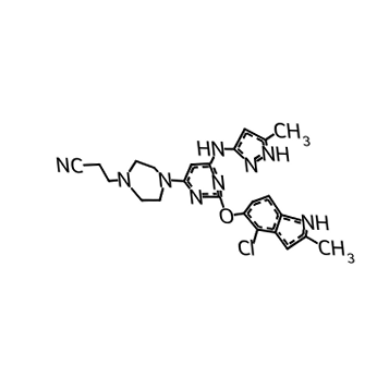 Cc1cc(Nc2cc(N3CCN(CCC#N)CC3)nc(Oc3ccc4[nH]c(C)cc4c3Cl)n2)n[nH]1